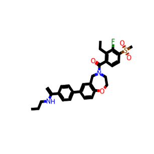 C=C(NCCC)c1ccc(-c2ccc3c(c2)CN(C(=O)c2ccc(S(C)(=O)=O)c(F)c2CC)CCO3)cc1